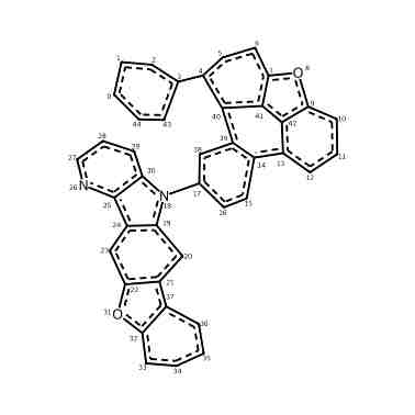 c1ccc(-c2ccc3oc4cccc5c6ccc(-n7c8cc9c(cc8c8ncccc87)oc7ccccc79)cc6c2c3c45)cc1